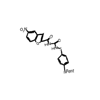 CCCCCc1ccc(SNC(=O)NC(=O)c2cc3cc([N+](=O)[O-])ccc3o2)cc1